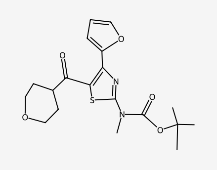 CN(C(=O)OC(C)(C)C)c1nc(-c2ccco2)c(C(=O)C2CCOCC2)s1